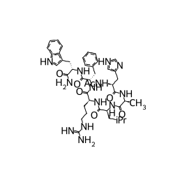 CC(=O)N[C@@H](Cc1c[nH]cn1)C(=O)N[C@@H](C)C(=O)N[C@@H](CC(C)C)C(=O)N[C@@H](CCCNC(=N)N)C(=O)N[C@@H](Cc1ccccc1)C(=O)N[C@@H](Cc1c[nH]c2ccccc12)C(N)=O